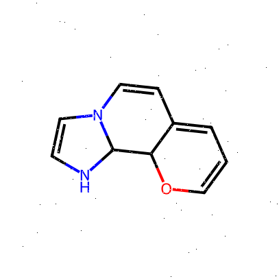 C1=COC2C(=C1)C=CN1C=CNC21